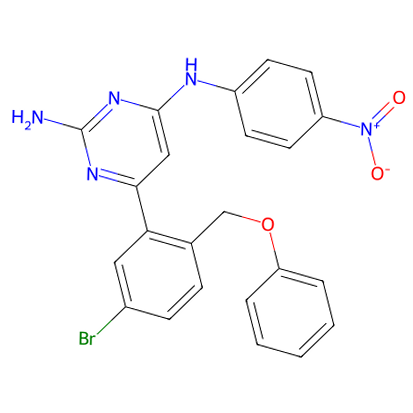 Nc1nc(Nc2ccc([N+](=O)[O-])cc2)cc(-c2cc(Br)ccc2COc2ccccc2)n1